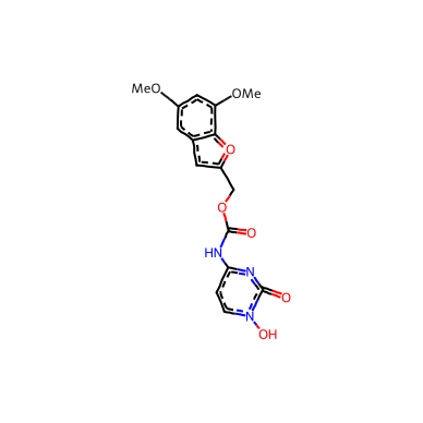 COc1cc(OC)c2oc(COC(=O)Nc3ccn(O)c(=O)n3)cc2c1